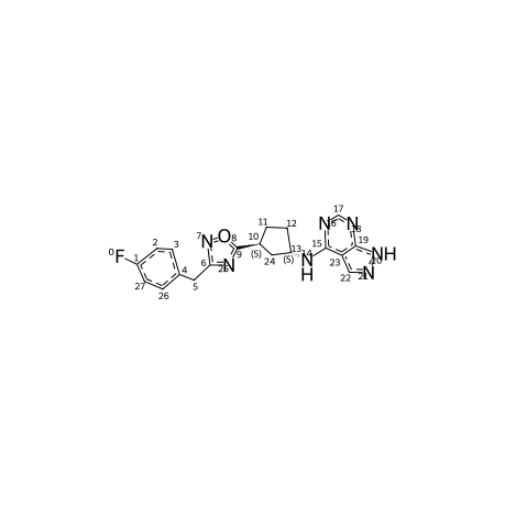 Fc1ccc(Cc2noc([C@H]3CC[C@H](Nc4ncnc5[nH]ncc45)C3)n2)cc1